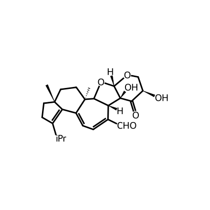 CC(C)C1=C2C3=CC=C(C=O)[C@@H]4C(O[C@@H]5OC[C@@H](O)C(=O)[C@@]54O)[C@]3(C)CC[C@@]2(C)CC1